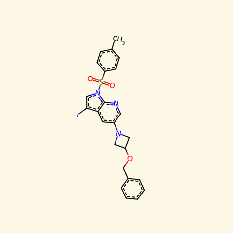 Cc1ccc(S(=O)(=O)n2cc(I)c3cc(N4CC(OCc5ccccc5)C4)cnc32)cc1